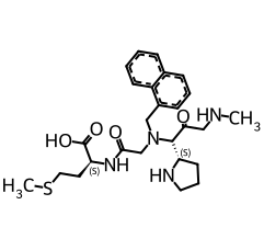 CNCC(=O)C([C@@H]1CCCN1)N(CC(=O)N[C@@H](CCSC)C(=O)O)Cc1cccc2ccccc12